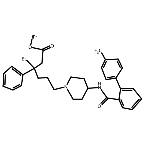 CCC(CCCN1CCC(NC(=O)c2ccccc2-c2ccc(C(F)(F)F)cc2)CC1)(CC(=O)OC(C)C)c1ccccc1